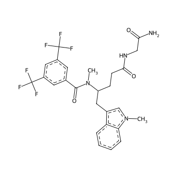 CN(C(=O)c1cc(C(F)(F)F)cc(C(F)(F)F)c1)C(CCC(=O)NCC(N)=O)Cc1cn(C)c2ccccc12